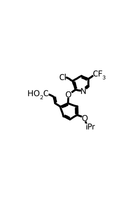 CC(C)Oc1ccc(C=CC(=O)O)c(Oc2ncc(C(F)(F)F)cc2Cl)c1